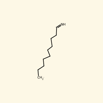 [CH2]CCCCCCCC[C]=N